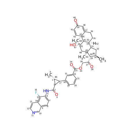 C[C@H]1C(C(=O)Nc2ccc3cnccc3c2F)C1c1cccc(C(=O)OCC(=O)[C@H]2[C@H](C)CC3[C@@H]4CCC5=CC(=O)C=C[C@]5(C)C4[C@@H](O)C[C@@]32C)c1